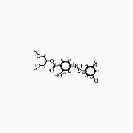 COCC(COC)OC(=O)c1ccc(NSc2cc(Cl)cc(Cl)c2)cc1O